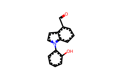 O=Cc1cccc2c1ccn2-c1ccccc1O